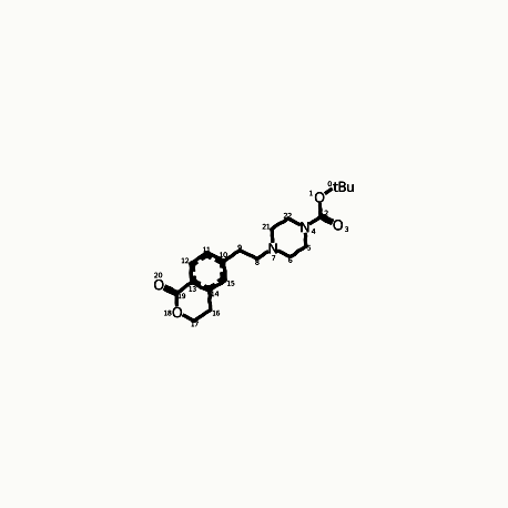 CC(C)(C)OC(=O)N1CCN(CCc2ccc3c(c2)CCOC3=O)CC1